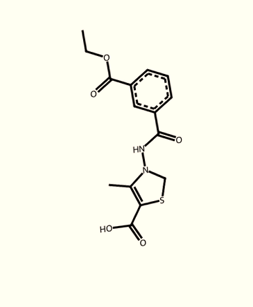 CCOC(=O)c1cccc(C(=O)NN2CSC(C(=O)O)=C2C)c1